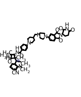 C=Nc1c(C#N)ccc2c1/C(=C\C)C1(C)[C@@H](NC(=O)c3ccc(N4CCC(CN5CCN(c6ccc7c(c6)C(=O)N(C6CCC(=O)NC6=O)C7=O)CC5)CC4)cc3)C(C)(C)[C@@H]1O2